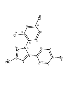 N#Cc1cc(-c2ccc(Br)cc2)n(-c2ccc(Cl)cc2Cl)n1